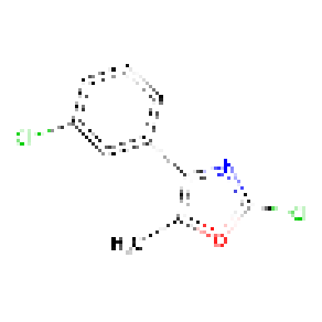 Cc1oc(Cl)nc1-c1cccc(Cl)c1